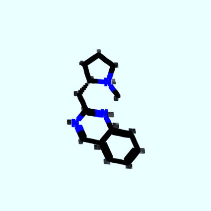 CN1CCC[C@H]1Cc1ncc2ccccc2n1